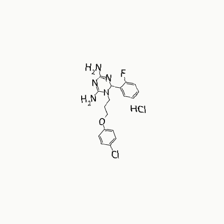 Cl.NC1=NC(c2ccccc2F)N(CCCOc2ccc(Cl)cc2)C(N)=N1